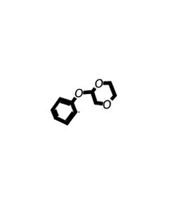 [c]1ccccc1OC1COCCO1